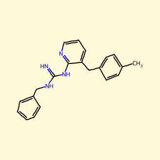 Cc1ccc(Cc2cccnc2NC(=N)NCc2ccccc2)cc1